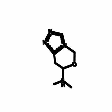 C[SH](C)C1Cc2nncn2CO1